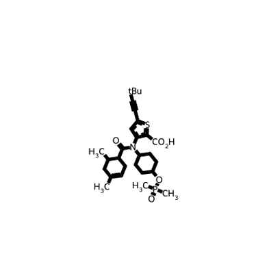 CC1=CCC(C(=O)N(c2cc(C#CC(C)(C)C)sc2C(=O)O)C2CCC(OP(C)(C)=O)CC2)C(C)C1